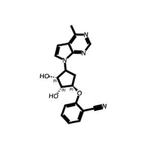 Cc1ncnc2c1ccn2C1C[C@@H](Oc2ccccc2C#N)[C@H](O)[C@@H]1O